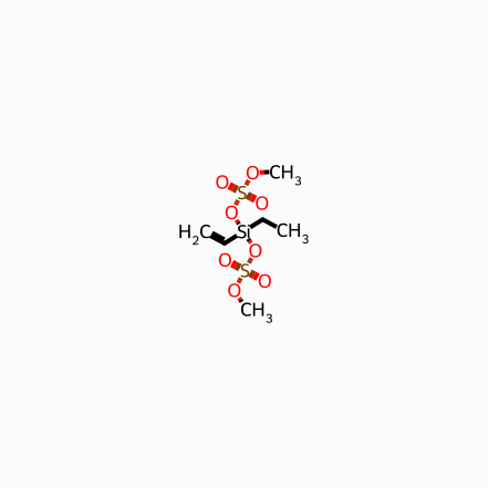 C=C[Si](CC)(OS(=O)(=O)OC)OS(=O)(=O)OC